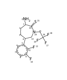 NC1CCC(c2cccc(F)c2F)CN(CC(F)(F)F)C1=S